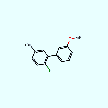 CCCOc1cccc(-c2cc(C(C)(C)C)ccc2F)c1